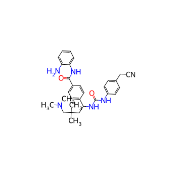 CN(C)CC(C)(C)CC(NC(=O)Nc1ccc(CC#N)cc1)c1ccc(C(=O)Nc2ccccc2N)cc1